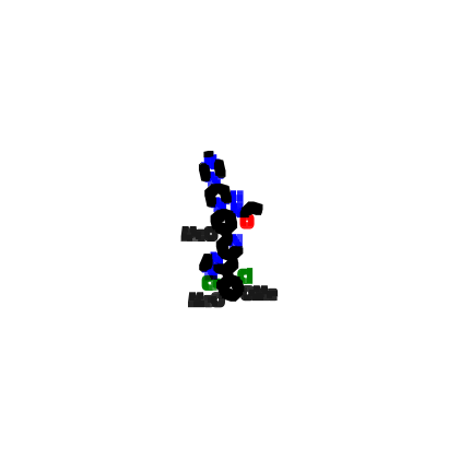 C=CC(=O)Nc1cc(-c2cc3c(cn2)cc(-c2c(Cl)c(OC)cc(OC)c2Cl)c2nccn23)c(OC)cc1N1CCC(N2CCN(C)CC2)CC1